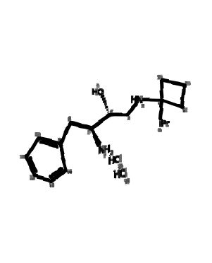 CC(C)C1(NC[C@@H](O)[C@@H](N)Cc2ccccc2)CCC1.Cl.Cl